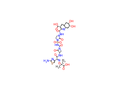 CC(C)(ON=C(C(=O)NC1CN(C(=O)NS(=O)(=O)N2CCN(NC(=O)c3nc4cc(O)c(O)cc4cc3C(=O)O)C2=O)C1=O)c1csc(N)n1)C(=O)O